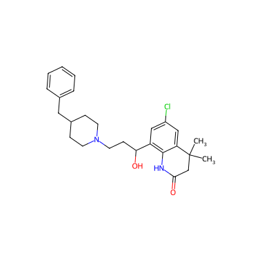 CC1(C)CC(=O)Nc2c(C(O)CCN3CCC(Cc4ccccc4)CC3)cc(Cl)cc21